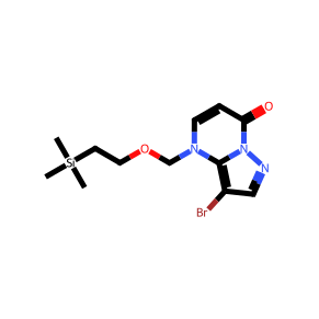 C[Si](C)(C)CCOCn1ccc(=O)n2ncc(Br)c12